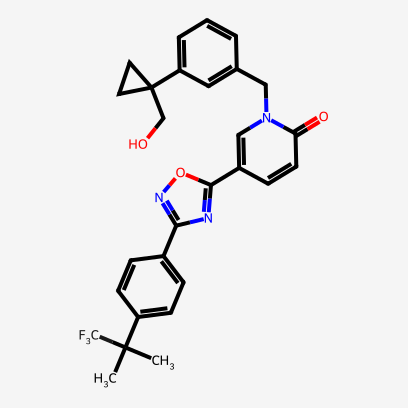 CC(C)(c1ccc(-c2noc(-c3ccc(=O)n(Cc4cccc(C5(CO)CC5)c4)c3)n2)cc1)C(F)(F)F